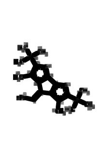 CCCC=C1c2c(sc([Si](C)(C)C)c2C)-c2sc([Si](C)(C)C)c(C)c21